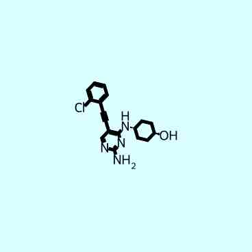 Nc1ncc(C#Cc2ccccc2Cl)c(N[C@H]2CC[C@H](O)CC2)n1